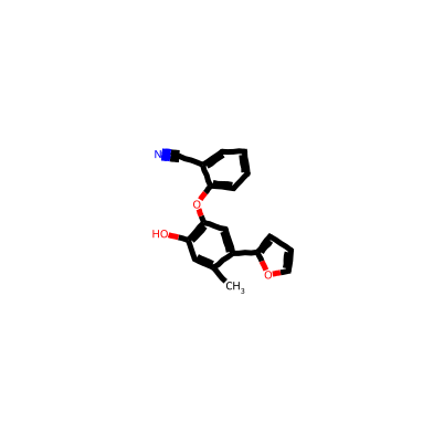 Cc1cc(O)c(Oc2ccccc2C#N)cc1-c1ccco1